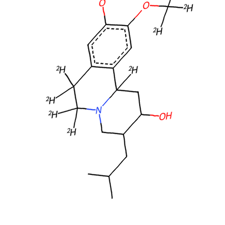 [2H]C([2H])([2H])Oc1cc2c(cc1OC)C([2H])([2H])C([2H])([2H])N1CC(CC(C)C)C(O)CC21[2H]